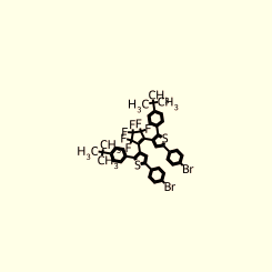 CC(C)(C)c1ccc(-c2sc(-c3ccc(Br)cc3)cc2C2=C(c3cc(-c4ccc(Br)cc4)sc3-c3ccc(C(C)(C)C)cc3)C(F)(F)C(F)(F)C2(F)F)cc1